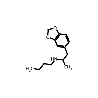 CCCCNC(C)Cc1ccc2c(c1)OCO2